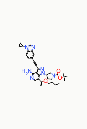 C=C(OCCCC)c1cnc(N)c2c(C#Cc3ccc4c(c3)ncn4C3CC3)nn([C@H]3CCN(C(=O)OC(C)(C)C)C3)c12